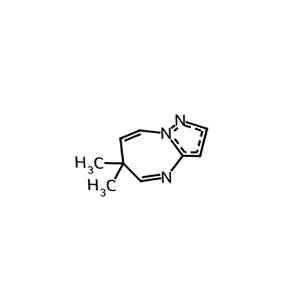 CC1(C)C=Cn2nccc2N=C1